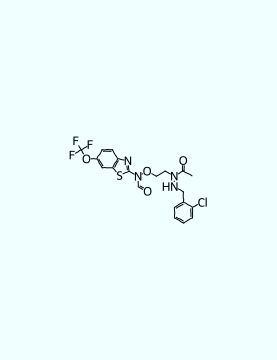 CC(=O)N(CCON(C=O)c1nc2ccc(OC(F)(F)F)cc2s1)NCc1ccccc1Cl